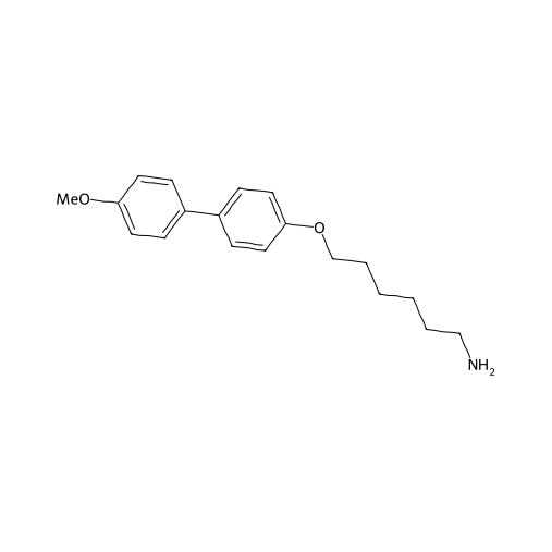 COc1ccc(-c2ccc(OCCCCCCN)cc2)cc1